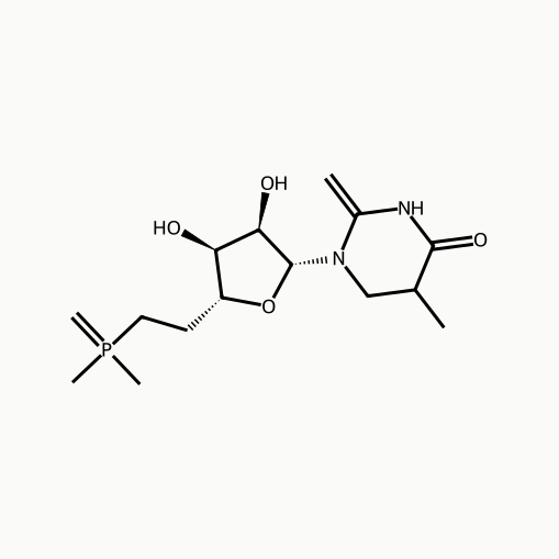 C=C1NC(=O)C(C)CN1[C@@H]1O[C@H](CCP(=C)(C)C)[C@@H](O)[C@H]1O